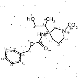 CC(CO)C1(NC(=O)OCc2ccccc2)CCCN(C(=O)O)C1